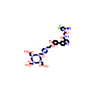 COc1ccc(-c2ccc3nccc(C(=O)NCC(=O)N4CC(F)(F)C[C@H]4C#N)c3c2)cc1OCCCN1CCN(C(=O)CN2CCN(CC(=O)O)CCN(CC(=O)O)CCN(CC(=O)O)CC2)CC1